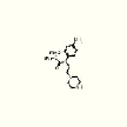 COc1cc(N)ccc1N(CCN1CCNCC1)C(=O)OC(C)(C)C